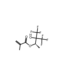 C=C(C)C(=O)O[C@H](C)C(O)(C(F)(F)F)C(F)(F)F